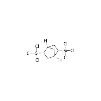 Cl[Si](Cl)(Cl)[C@H]1C[C@H]2C[C@@H]1C[C@@H]2[Si](Cl)(Cl)Cl